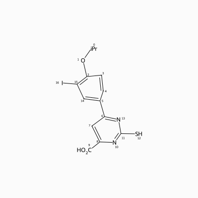 CC(C)Oc1ccc(-c2cc(C(=O)O)nc(S)n2)cc1I